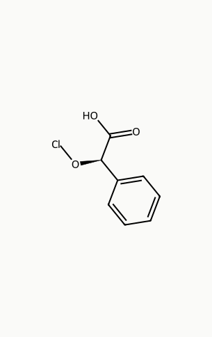 O=C(O)[C@H](OCl)c1ccccc1